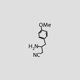 COc1ccc(CC(N)CC#N)cc1